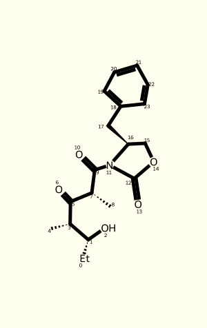 CC[C@@H](O)[C@H](C)C(=O)[C@@H](C)C(=O)N1C(=O)OC[C@@H]1Cc1ccccc1